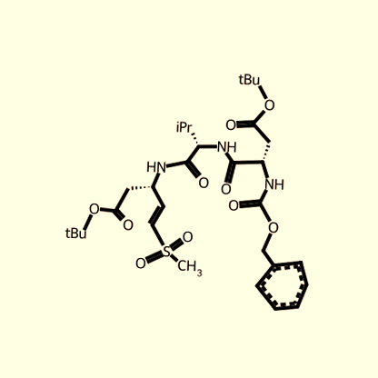 CC(C)[C@H](NC(=O)[C@H](CC(=O)OC(C)(C)C)NC(=O)OCc1ccccc1)C(=O)N[C@H](/C=C/S(C)(=O)=O)CC(=O)OC(C)(C)C